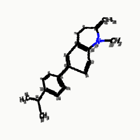 C=C1CCc2cc(-c3ccc(C(C)C)cc3)ccc2N1C